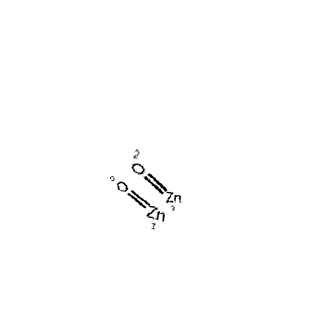 [O]=[Zn].[O]=[Zn]